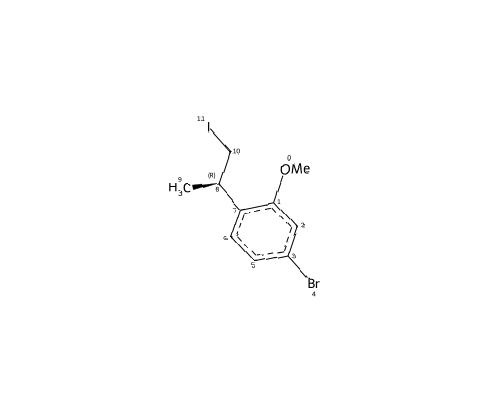 COc1cc(Br)ccc1[C@@H](C)CI